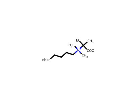 CCCCCCCCCCCCC[N+](C)(C)C(C)(CC)C(=O)[O-]